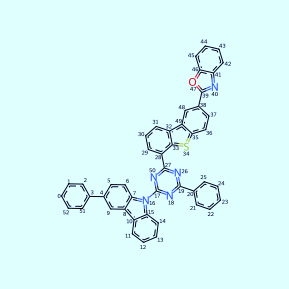 c1ccc(-c2ccc3c(c2)c2ccccc2n3-c2nc(-c3ccccc3)nc(-c3cccc4c3sc3ccc(-c5nc6ccccc6o5)cc34)n2)cc1